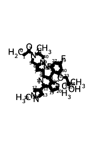 C=CC(=O)N1Cc2cc(-c3nc(-c4cnn(C)c4)c4ccsc4c3-c3c(F)cc(F)cc3OCC(C)(C)O)nn2C[C@H]1C